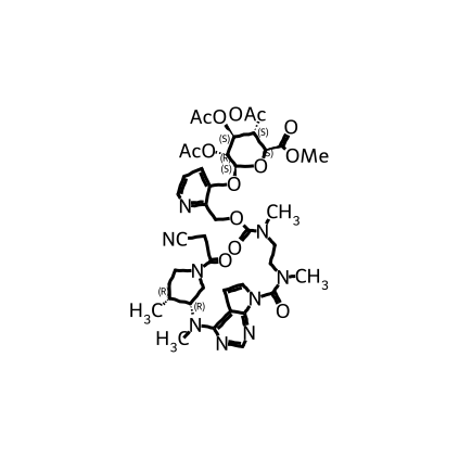 COC(=O)[C@H]1O[C@@H](Oc2cccnc2COC(=O)N(C)CCN(C)C(=O)n2ccc3c(N(C)[C@H]4CN(C(=O)CC#N)CC[C@H]4C)ncnc32)[C@H](OC(C)=O)[C@@H](OC(C)=O)[C@@H]1OC(C)=O